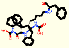 O=CC(Cc1ccccc1)NCCCCC[C@@H](Cc1ccccc1)C(Cc1ccccc1)(NC(=O)O)N[C@@H](Cc1ccccc1)C(=O)NC(=O)O